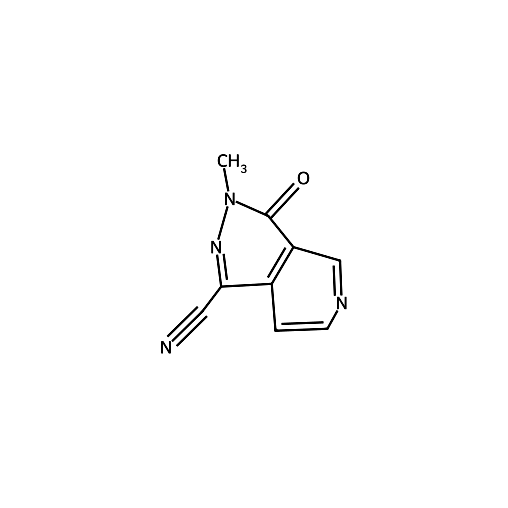 Cn1nc(C#N)c2ccncc2c1=O